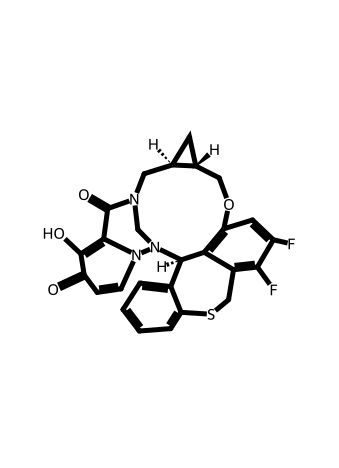 O=C1c2c(O)c(=O)ccn2N2CN1C[C@H]1C[C@@H]1COc1cc(F)c(F)c3c1[C@H]2c1ccccc1SC3